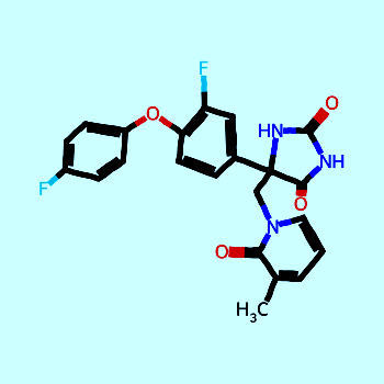 Cc1cccn(CC2(c3ccc(Oc4ccc(F)cc4)c(F)c3)NC(=O)NC2=O)c1=O